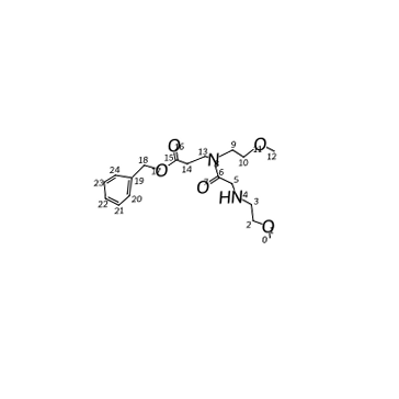 COCCNCC(=O)N(CCOC)CCC(=O)OCc1ccccc1